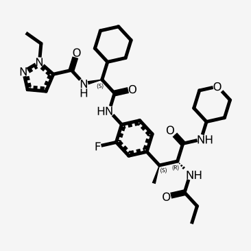 CCC(=O)N[C@@H](C(=O)NC1CCOCC1)[C@@H](C)c1ccc(NC(=O)[C@@H](NC(=O)c2ccnn2CC)C2CCCCC2)c(F)c1